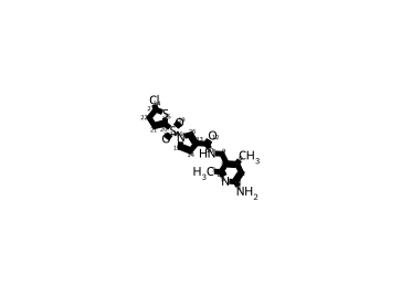 Cc1cc(N)nc(C)c1CNC(=O)c1ccn(S(=O)(=O)C2=CCC(Cl)S2)c1